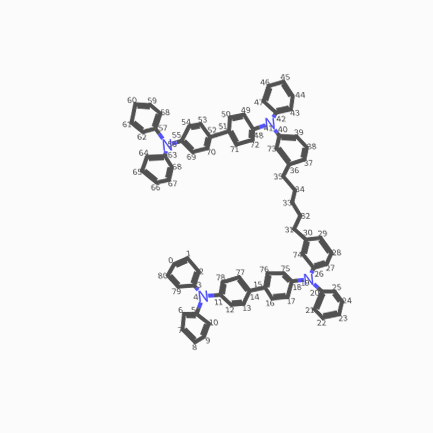 c1ccc(N(c2ccccc2)c2ccc(-c3ccc(N(c4ccccc4)c4cccc(CCCCCc5cccc(N(c6ccccc6)c6ccc(-c7ccc(N(c8ccccc8)c8ccccc8)cc7)cc6)c5)c4)cc3)cc2)cc1